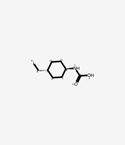 O=C(O)N[C@H]1CC[C@H](CI)CC1